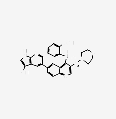 Cc1c[nH]c2ncc(-c3ccc4ncc(S(=O)(=O)N5CCOCC5)c(Nc5ccccc5C(=O)O)c4c3)cc12